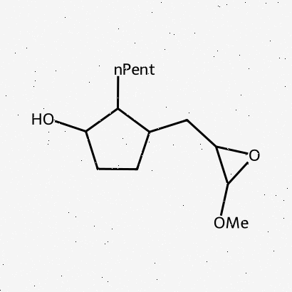 CCCCCC1C(O)CCC1CC1OC1OC